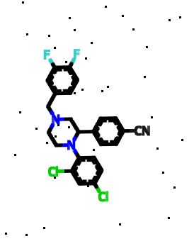 N#Cc1ccc(C2CN(Cc3ccc(F)c(F)c3)CCN2c2ccc(Cl)cc2Cl)cc1